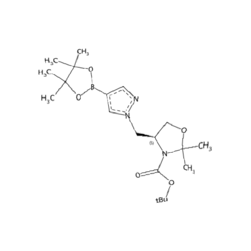 CC(C)(C)OC(=O)N1[C@@H](Cn2cc(B3OC(C)(C)C(C)(C)O3)cn2)COC1(C)C